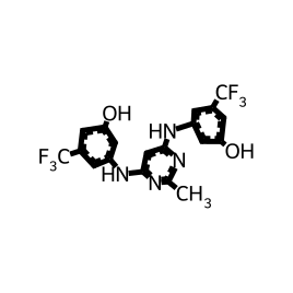 Cc1nc(Nc2cc(O)cc(C(F)(F)F)c2)cc(Nc2cc(O)cc(C(F)(F)F)c2)n1